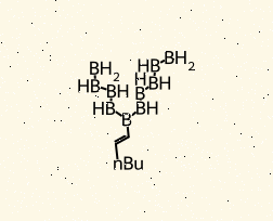 BBBBBB(BBBB)/C=C/CCCC